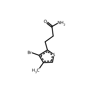 Cc1csc(CCC(N)=O)c1Br